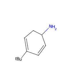 CC(C)(C)C1=CCC(N)C=C1